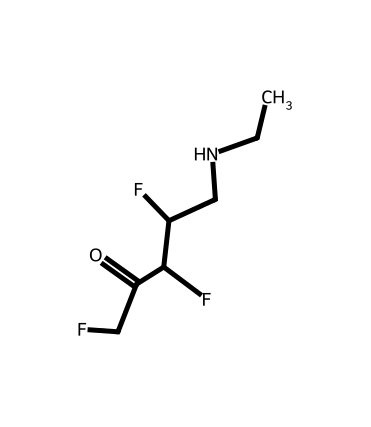 CCNCC(F)C(F)C(=O)CF